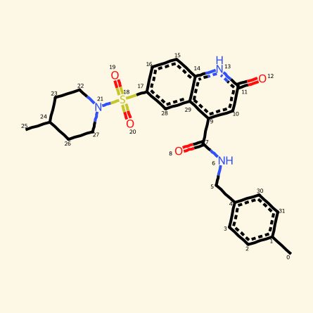 Cc1ccc(CNC(=O)c2cc(=O)[nH]c3ccc(S(=O)(=O)N4CCC(C)CC4)cc23)cc1